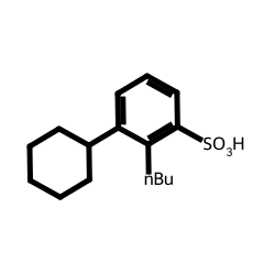 CCCCc1c(C2CCCCC2)cccc1S(=O)(=O)O